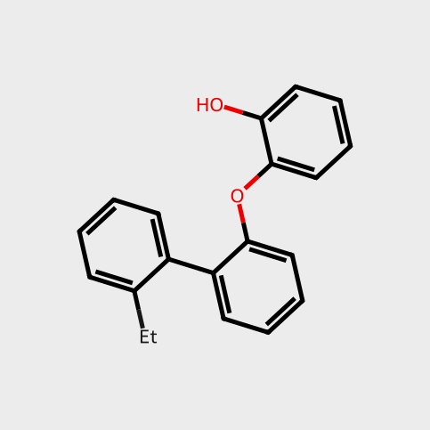 CCc1ccccc1-c1ccccc1Oc1ccccc1O